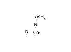 [AsH3].[Co].[Ni].[Ni]